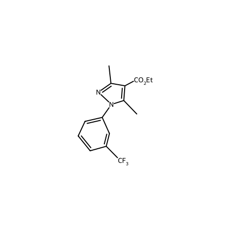 CCOC(=O)c1c(C)nn(-c2cccc(C(F)(F)F)c2)c1C